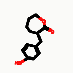 O=C1OCCCCC1Cc1ccc(O)cc1